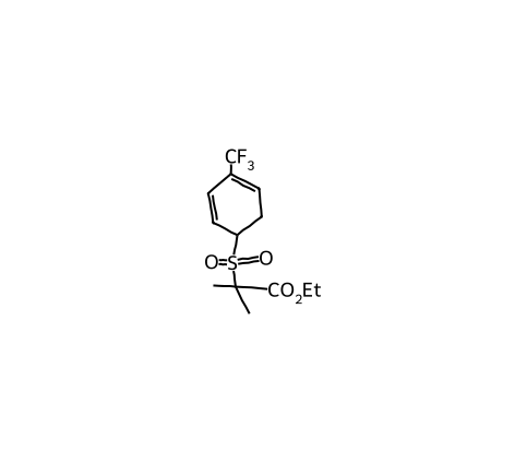 CCOC(=O)C(C)(C)S(=O)(=O)C1C=CC(C(F)(F)F)=CC1